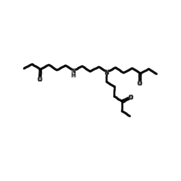 CCC(=O)CCCNCCCN(CCCC(=O)CC)CCCC(=O)CC